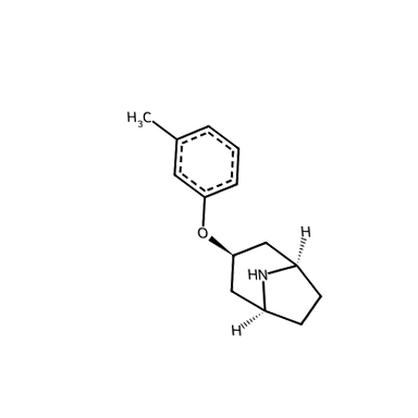 Cc1cccc(O[C@H]2C[C@H]3CC[C@@H](C2)N3)c1